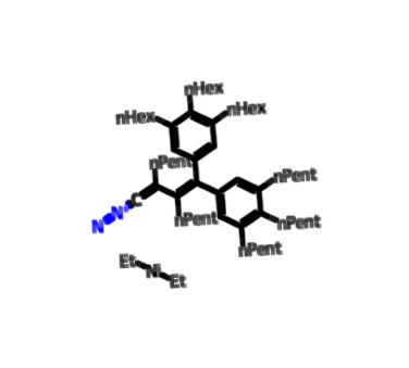 CCCCCCc1cc(C(=C(CCCCC)C(=C=[N+]=[N-])CCCCC)c2cc(CCCCC)c(CCCCC)c(CCCCC)c2)cc(CCCCCC)c1CCCCCC.C[CH2][Ni][CH2]C